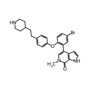 Cn1cc(-c2cc(Br)ccc2Oc2ccc(CCC3CCNCC3)cc2)c2cc[nH]c2c1=O